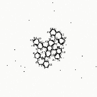 C1=CC2=C(CC1)CCc1ccccc1N2c1ccc2c(-c3nccc4ccccc34)c3cc(N4c5ccccc5CCc5ccccc54)ccc3c(-c3ccc4ccccc4c3)c2c1